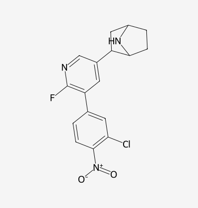 O=[N+]([O-])c1ccc(-c2cc(C3CC4CCC3N4)cnc2F)cc1Cl